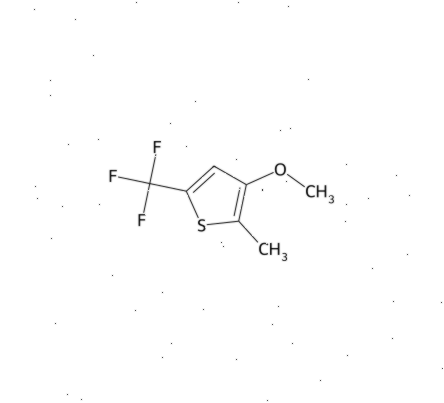 COc1cc(C(F)(F)F)sc1C